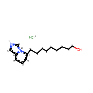 Cl.OCCCCCCCCCc1cccc2cncn12